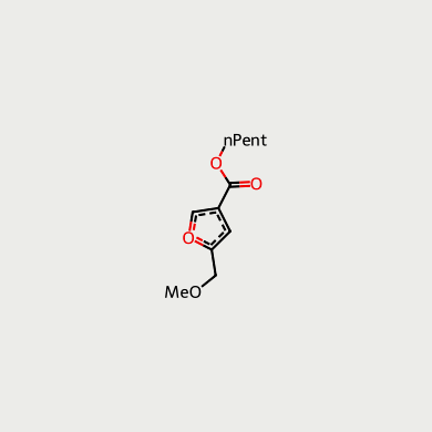 CCCCCOC(=O)c1coc(COC)c1